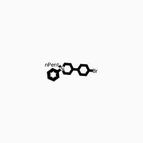 CCCCC[Si]1(c2ccccc2)CCC(C2CCC(Br)CC2)CC1